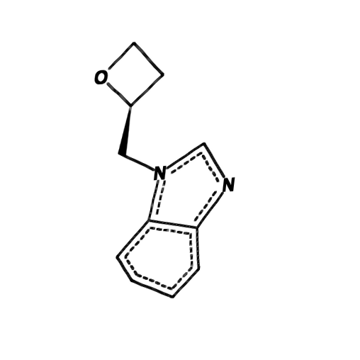 c1ccc2c(c1)ncn2C[C@@H]1CCO1